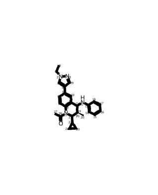 CCn1cc(-c2ccc3c(c2)C(Nc2ccccc2)[C@@H](C)C(C2CC2)N3C(C)=O)cn1